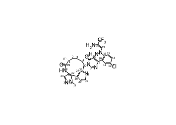 C[C@@H]1CCC[C@H](n2cnc(-c3cc(Cl)ccc3N(N)/C=C(\N)C(F)(F)F)cc2=O)c2cc(ccn2)-c2c(cnn2C)NC1=O